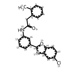 Cc1ccccc1CC(=O)Nc1cccc(-c2nc3cc(Cl)ccc3o2)c1